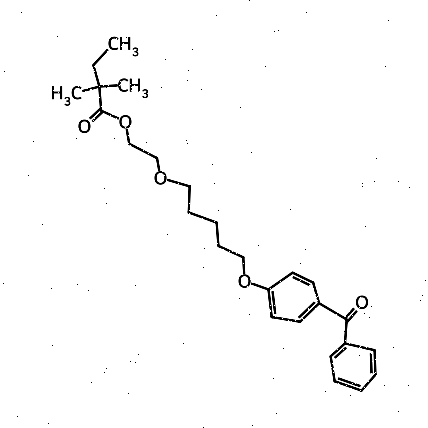 CCC(C)(C)C(=O)OCCOCCCCCOc1ccc(C(=O)c2ccccc2)cc1